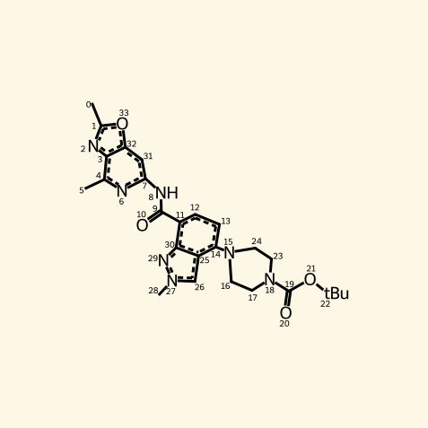 Cc1nc2c(C)nc(NC(=O)c3ccc(N4CCN(C(=O)OC(C)(C)C)CC4)c4cn(C)nc34)cc2o1